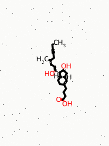 CCC#CCC(C)CC=C(O)[C@H]1[C@@H]2CCC(CCCC(=O)O)=C[C@@H]2C[C@@H]1O